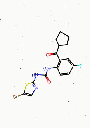 O=C(Nc1ncc(Br)s1)Nc1ccc(F)cc1C(=O)C1CCCC1